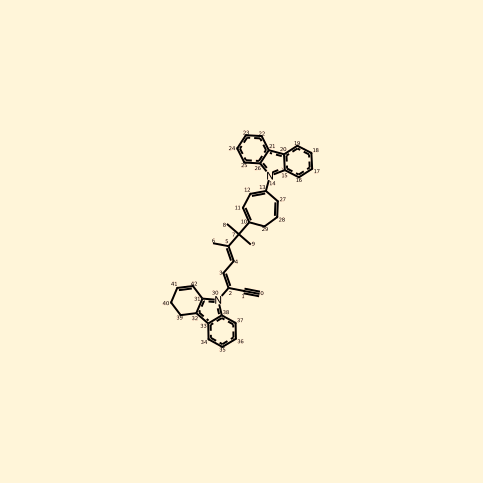 C#C/C(=C\C=C(/C)C(C)(C)C1=CC=C(n2c3ccccc3c3ccccc32)C=CC1)n1c2c(c3ccccc31)CCC=C2